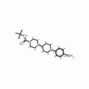 CC(C)(C)OC(=O)N1CCN(C2CCN(c3ccc(N)cc3)CC2)CC1